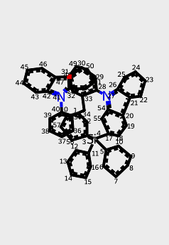 c1ccc([Si](c2ccccc2)(c2ccccc2)c2ccc3c4ccccc4n(-c4ccccc4Cc4ccccc4-n4c5ccccc5c5ccccc54)c3c2)cc1